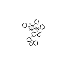 c1ccc(-c2nc(-c3ccccc3)nc(-c3cc(-c4cccc5oc6ccccc6c45)cc4oc5cc6ccccc6nc5c34)n2)cc1